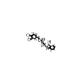 O=C(NCCc1nc2ccccc2[nH]1)OCc1ccc(Cl)c(Cl)c1